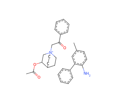 CC(=O)OC1C[N+]2(CC(=O)c3ccccc3)CCC1CC2.Cc1ccc(N)c(-c2ccccc2)c1